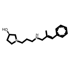 C/C(=C\c1ccccc1)CNCCCN1CC[C@@H](O)C1